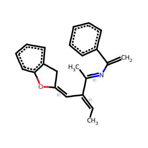 C=C(/N=C(C)/C(/C=C1\Cc2ccccc2O1)=C/C)c1ccccc1